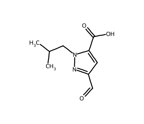 CC(C)Cn1nc(C=O)cc1C(=O)O